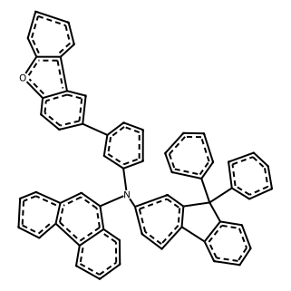 c1ccc(C2(c3ccccc3)c3ccccc3-c3ccc(N(c4cccc(-c5ccc6oc7ccccc7c6c5)c4)c4cc5ccccc5c5ccccc45)cc32)cc1